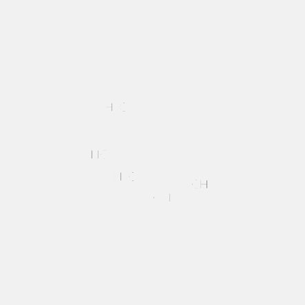 C#C/C(=C\C(C)=C(\O)CC)CC